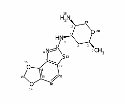 C[C@H]1C[C@@H](Nc2nc3c4c(ccc3s2)OCO4)[C@@H](N)CO1